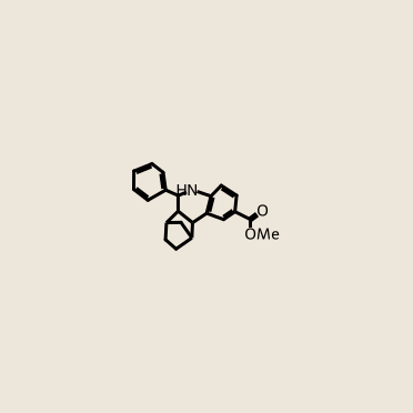 COC(=O)c1ccc2c(c1)C1C3CCC(C3)C1C(c1ccccc1)N2